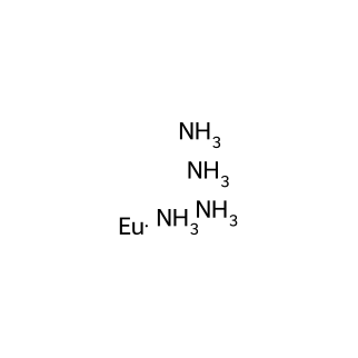 N.N.N.N.[Eu]